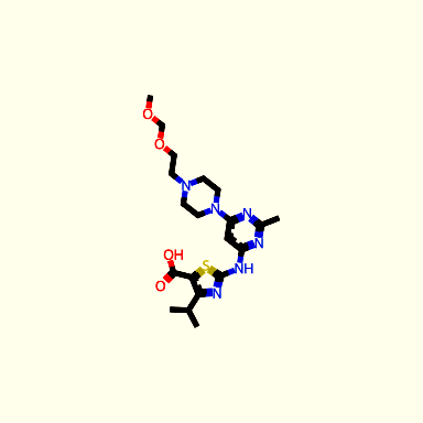 COCOCCN1CCN(c2cc(Nc3nc(C(C)C)c(C(=O)O)s3)nc(C)n2)CC1